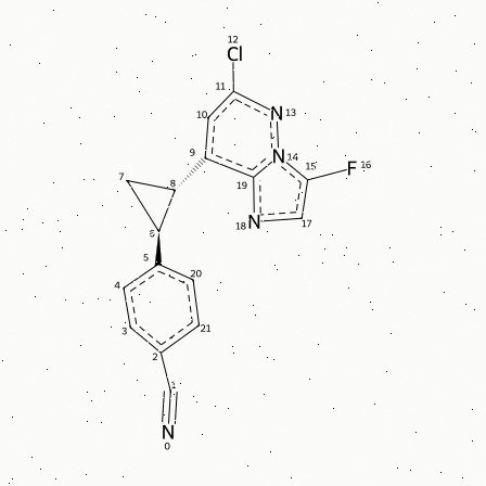 N#Cc1ccc([C@H]2C[C@@H]2c2cc(Cl)nn3c(F)cnc23)cc1